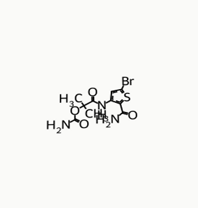 CC(C)(OC(N)=O)C(=O)Nc1cc(Br)sc1C(N)=O